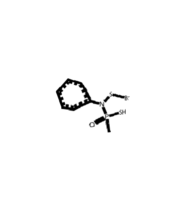 CP(=O)(S)N(SBr)c1ccccc1